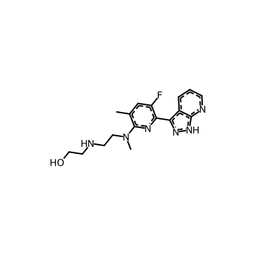 Cc1cc(F)c(-c2n[nH]c3ncccc23)nc1N(C)CCNCCO